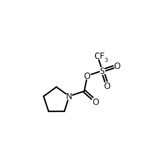 O=C(OS(=O)(=O)C(F)(F)F)N1CCCC1